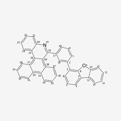 c1cc(-c2cccc3c2oc2ccccc23)cc(-c2nc3ccccc3c3c4ccccc4c4ccccc4c23)c1